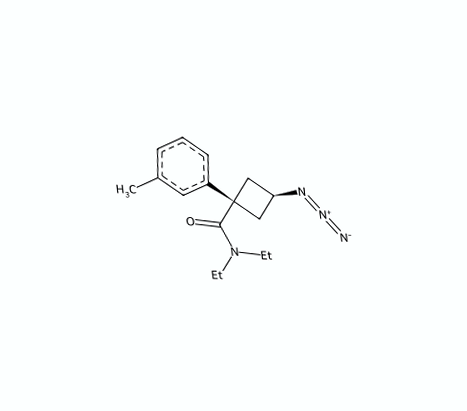 CCN(CC)C(=O)[C@]1(c2cccc(C)c2)C[C@@H](N=[N+]=[N-])C1